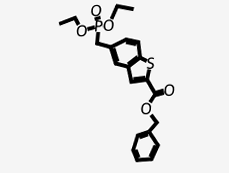 CCOP(=O)(Cc1ccc2sc(C(=O)OCc3ccccc3)cc2c1)OCC